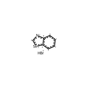 Br.c1ccc2[se]cnc2c1